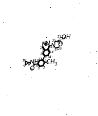 Cc1ccc(C(=O)NC2CC2)cc1-c1ccc2c(N3CCO[C@@H](CO)C3)nncc2c1